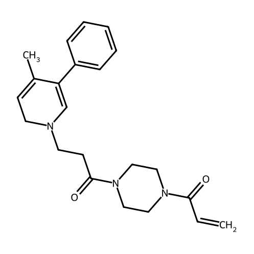 C=CC(=O)N1CCN(C(=O)CCN2C=C(c3ccccc3)C(C)=CC2)CC1